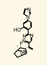 C=C(c1cnc(-c2ccc(-n3ccnc3)cc2O)nn1)[C@@H]1CC2CC[C@](C)(N2)[C@@H]1F